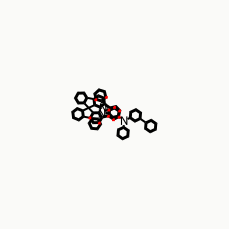 c1ccc(-c2cccc(N(c3ccccc3)c3ccc4c(c3)c3ccc5c(c3n4-c3ccccc3)C3(c4ccccc4-c4ccc6c7ccccc7n(-c7ccccc7)c6c43)c3ccccc3-5)c2)cc1